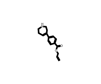 C=CCOC(=O)c1ccc(C2=CCCNCC2)cc1